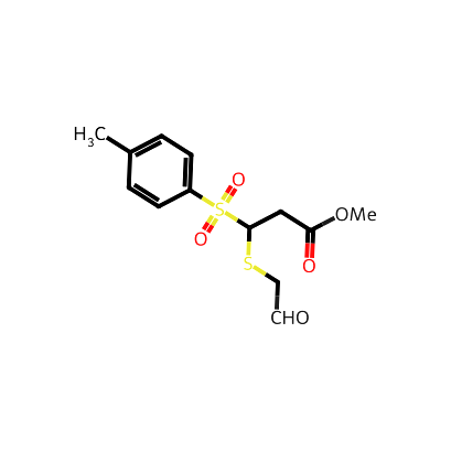 COC(=O)CC(SCC=O)S(=O)(=O)c1ccc(C)cc1